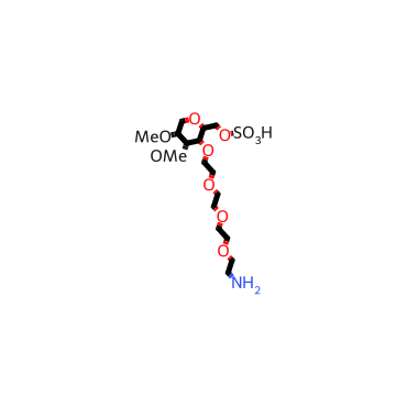 COC1COC(COS(=O)(=O)O)C(OCCOCCOCCOCCN)C1OC